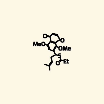 CCC(=O)SC(CC=C(C)C)c1cc(OC)c2c(c1OC)C(=O)C=CC2=O